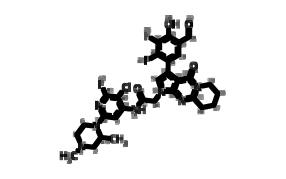 CC1CN(C)CCN1c1cc(NC(=O)Cn2cc(-c3cc(C=O)c(O)c(F)c3F)c3c(=O)n4c(nc32)CCCC4)c(Cl)c(F)n1